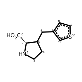 O=C(O)[C@H]1NCCC1Cc1ccsc1